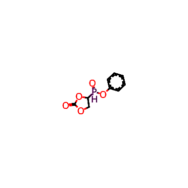 O=C1OCC([PH](=O)Oc2ccccc2)O1